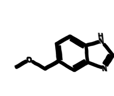 COCc1ccc2[nH]cnc2c1